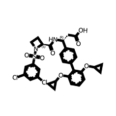 O=C(O)C[C@@H](NC(=O)[C@@H]1CCN1S(=O)(=O)c1cc(Cl)cc(Cl)c1)c1ccc(-c2c(OC3CC3)cccc2OC2CC2)cc1